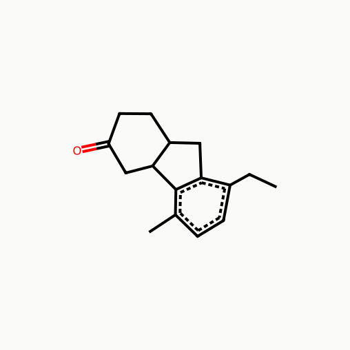 CCc1ccc(C)c2c1CC1CCC(=O)CC21